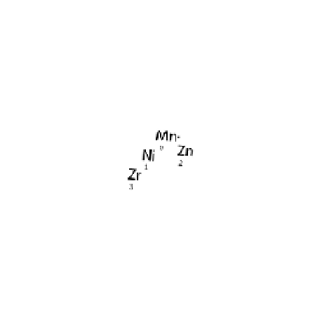 [Mn].[Ni].[Zn].[Zr]